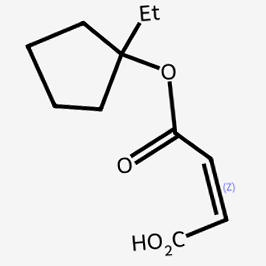 CCC1(OC(=O)/C=C\C(=O)O)CCCC1